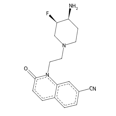 N#Cc1ccc2ccc(=O)n(CCN3CC[C@H](N)[C@H](F)C3)c2c1